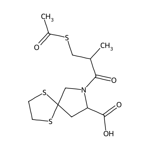 CC(=O)SCC(C)C(=O)N1CC2(CC1C(=O)O)SCCS2